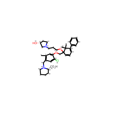 Cc1cc(OCC2(OCCCN3CC[C@@H](O)C3)C=CC=C(c3ccccc3)C2(C)C)c(Cl)cc1CN1CCCC[C@H]1C(=O)O